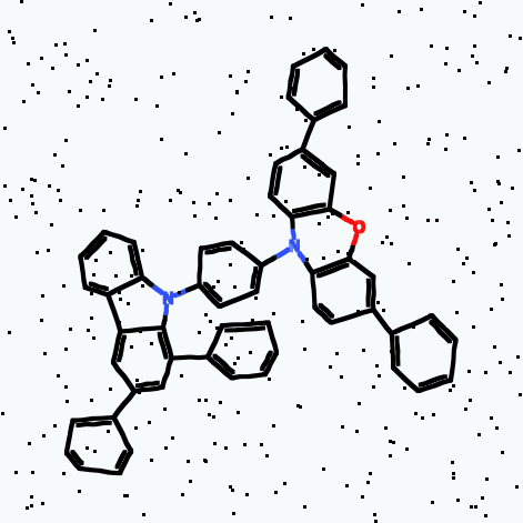 c1ccc(-c2ccc3c(c2)Oc2cc(-c4ccccc4)ccc2N3c2ccc(-n3c4ccccc4c4cc(-c5ccccc5)cc(-c5ccccc5)c43)cc2)cc1